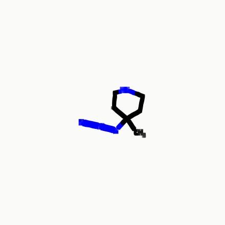 CC1(N=[N+]=[N-])[CH]CNCC1